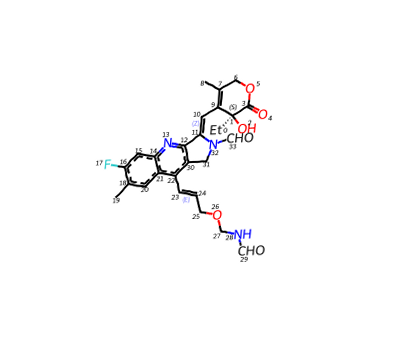 CC[C@@]1(O)C(=O)OCC(C)=C1/C=C1/c2nc3cc(F)c(C)cc3c(/C=C/COCNC=O)c2CN1C=O